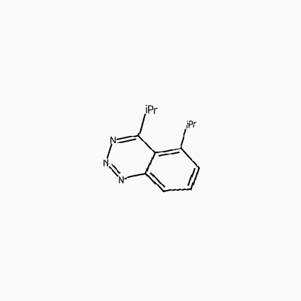 CC(C)c1cccc2nnnc(C(C)C)c12